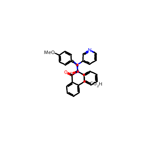 COc1ccc(CN(CCC(=O)O)C(=O)c2ccccc2-c2ccccc2C(=O)N(C)c2cccnc2)cc1